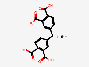 O=C(O)c1ccc(Cc2ccc(C(=O)O)c(C(=O)O)c2)cc1C(=O)O.[HH].[HH]